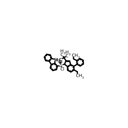 CCc1ccccc1-c1c(CC)ccc2c1C=C(C(C)(C)C)[CH]2[Zr]([Cl])([Cl])[c]1cccc2c1[SiH2]c1ccccc1-2